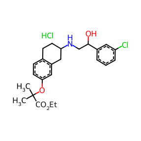 CCOC(=O)C(C)(C)Oc1ccc2c(c1)CC(NCC(O)c1cccc(Cl)c1)CC2.Cl